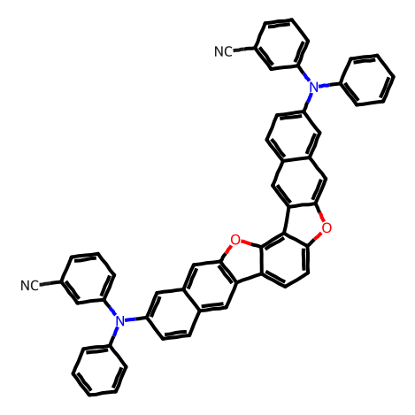 N#Cc1cccc(N(c2ccccc2)c2ccc3cc4c(cc3c2)oc2c4ccc3oc4cc5cc(N(c6ccccc6)c6cccc(C#N)c6)ccc5cc4c32)c1